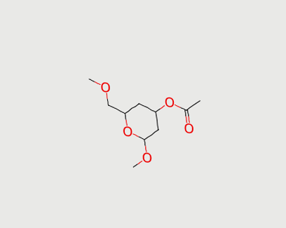 COCC1CC(OC(C)=O)CC(OC)O1